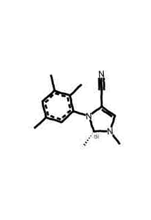 Cc1cc(C)c(C)c(N2C(C#N)=CN(C)[C@@H]2C)c1